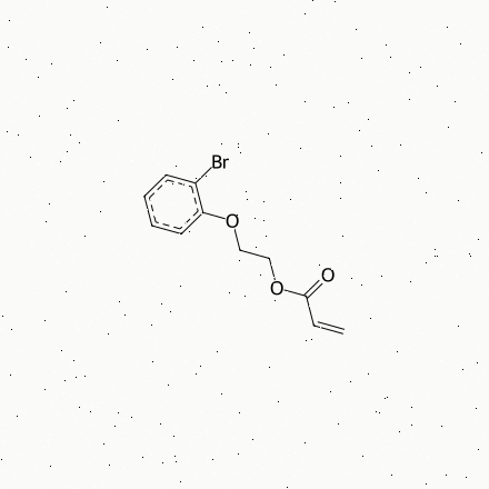 C=CC(=O)OCCOc1ccccc1Br